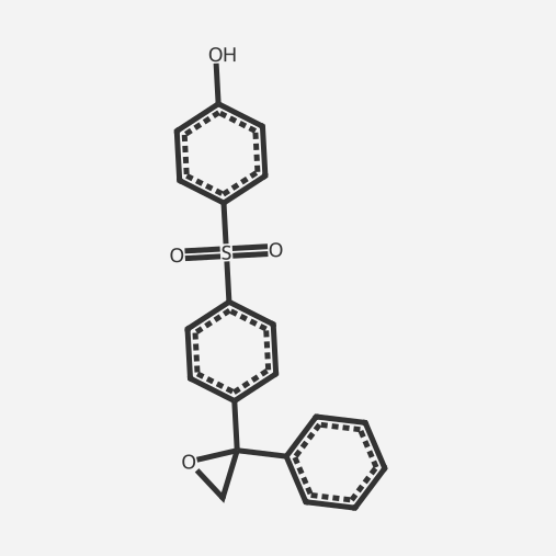 O=S(=O)(c1ccc(O)cc1)c1ccc(C2(c3ccccc3)CO2)cc1